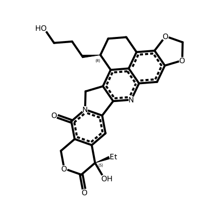 CC[C@@]1(O)C(=O)OCc2c1cc1n(c2=O)Cc2c-1nc1cc3c(c4c1c2[C@@H](CCCO)CC4)OCO3